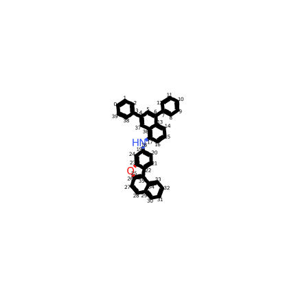 c1ccc(-c2cc(-c3ccccc3)c3cccc(Nc4ccc5c(c4)oc4ccc6ccccc6c45)c3c2)cc1